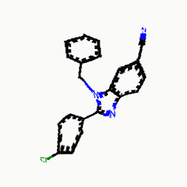 N#Cc1ccc2nc(-c3ccc(Cl)cc3)n(Cc3ccccc3)c2c1